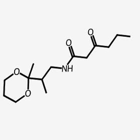 CCCC(=O)CC(=O)NCC(C)C1(C)OCCCO1